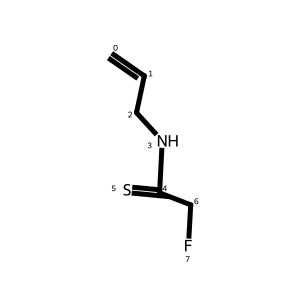 C=CCNC(=S)CF